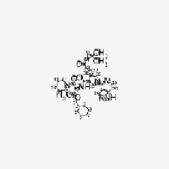 C[C@@H](OCC1CCCCC1)[C@H](NC(=O)[C@@H]1CN(c2nccc3[nH]ncc23)CC12CN(C(=O)[C@H]1CC1(C)C)C2)C(=O)N1CCCCC1